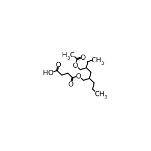 CCCC(COC(=O)CCC(=O)O)CC(CC)COC(C)=O